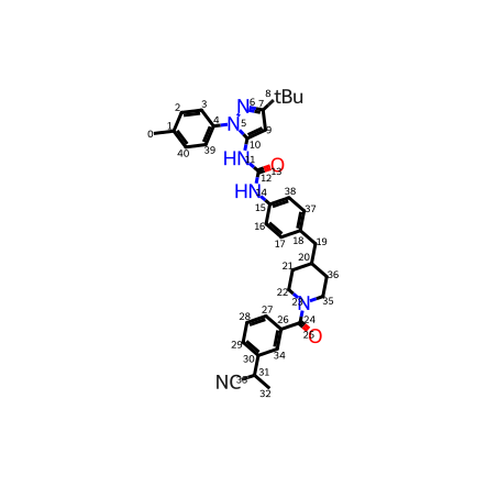 Cc1ccc(-n2nc(C(C)(C)C)cc2NC(=O)Nc2ccc(CC3CCN(C(=O)c4cccc(C(C)C#N)c4)CC3)cc2)cc1